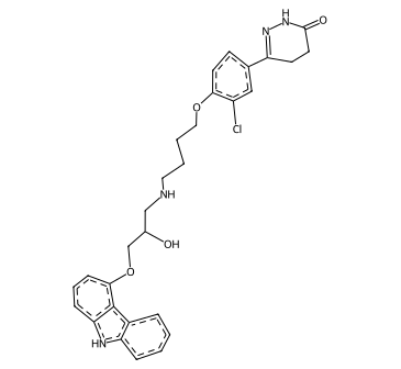 O=C1CCC(c2ccc(OCCCCNCC(O)COc3cccc4[nH]c5ccccc5c34)c(Cl)c2)=NN1